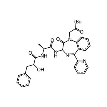 C[C@H](NC(=O)C(O)Cc1ccccc1)C(=O)NC1N=C(c2ccccn2)c2ccccc2N(CC(=O)C(C)(C)C)C1=O